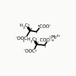 C=C(CC(=O)[O-])C(=O)[O-].C=C(CC(=O)[O-])C(=O)[O-].[Pb+4]